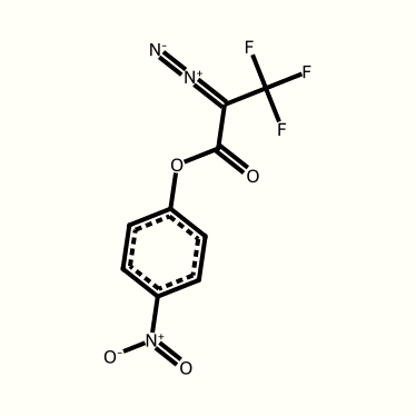 [N-]=[N+]=C(C(=O)Oc1ccc([N+](=O)[O-])cc1)C(F)(F)F